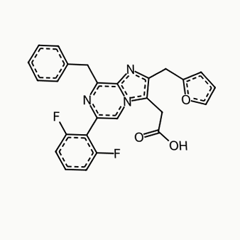 O=C(O)Cc1c(Cc2ccco2)nc2c(Cc3ccccc3)nc(-c3c(F)cccc3F)cn12